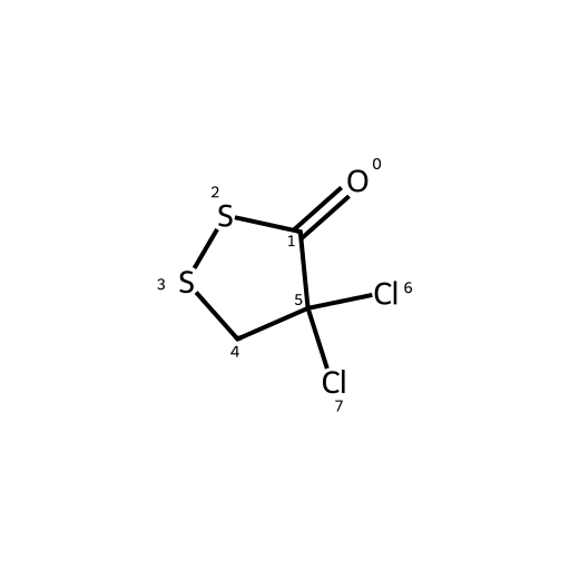 O=C1SSCC1(Cl)Cl